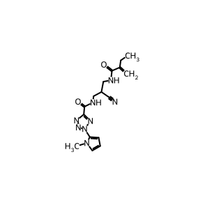 C=C(CC)C(=O)NCC(C#N)CNC(=O)c1nnn(-c2cccn2C)n1